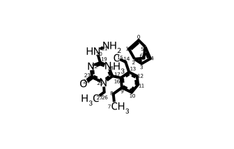 C1=CC2=CC=C1C2.CCc1cccc(CC)c1-c1nc(NN)nc(=O)n1CC